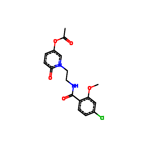 COc1cc(Cl)ccc1C(=O)NCCn1cc(OC(C)=O)ccc1=O